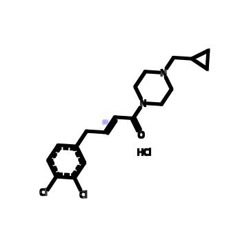 Cl.O=C(/C=C/Cc1ccc(Cl)c(Cl)c1)N1CCN(CC2CC2)CC1